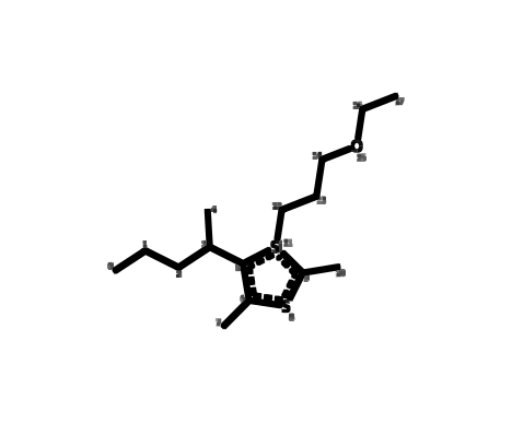 CCCC(C)c1c(C)sc(C)[si]1CCCOCC